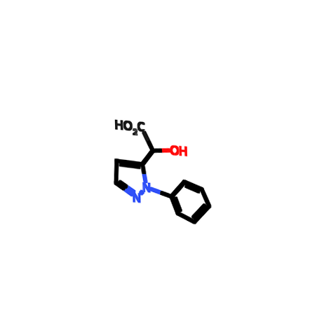 O=C(O)C(O)c1ccnn1-c1ccccc1